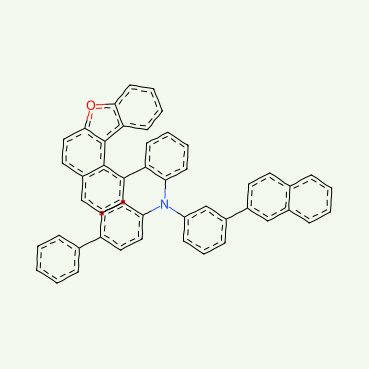 c1ccc(-c2ccc(N(c3cccc(-c4ccc5ccccc5c4)c3)c3ccccc3-c3cccc4ccc5oc6ccccc6c5c34)cc2)cc1